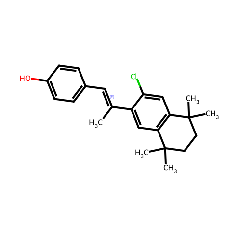 C/C(=C\c1ccc(O)cc1)c1cc2c(cc1Cl)C(C)(C)CCC2(C)C